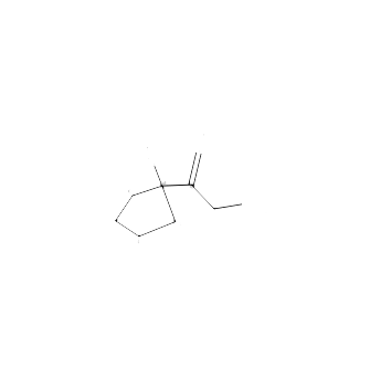 CCOC(=O)CC(=O)C1(C(F)(F)F)CCCC1